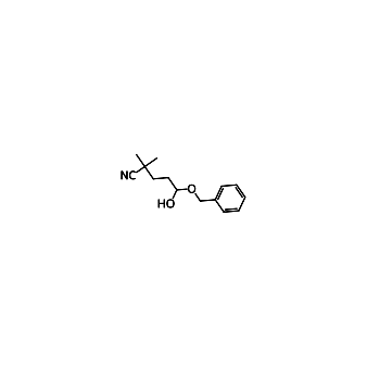 CC(C)(C#N)CCC(O)OCc1ccccc1